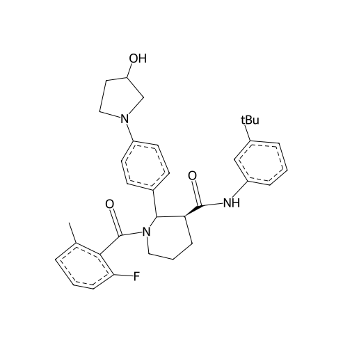 Cc1cccc(F)c1C(=O)N1CCC[C@H](C(=O)Nc2cccc(C(C)(C)C)c2)C1c1ccc(N2CCC(O)C2)cc1